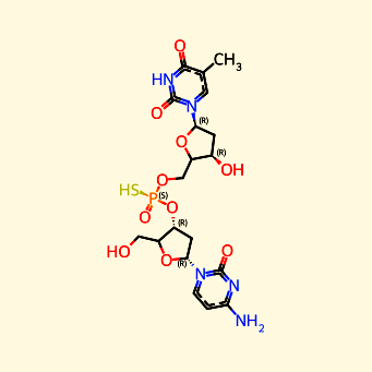 Cc1cn([C@H]2C[C@@H](O)C(CO[P@](=O)(S)O[C@@H]3C[C@H](n4ccc(N)nc4=O)OC3CO)O2)c(=O)[nH]c1=O